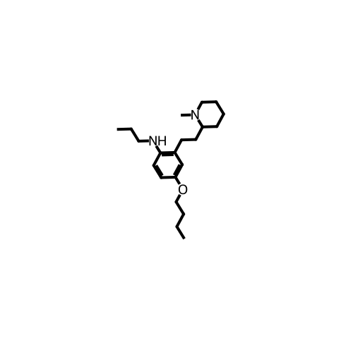 CCCCOc1ccc(NCCC)c(CCC2CCCCN2C)c1